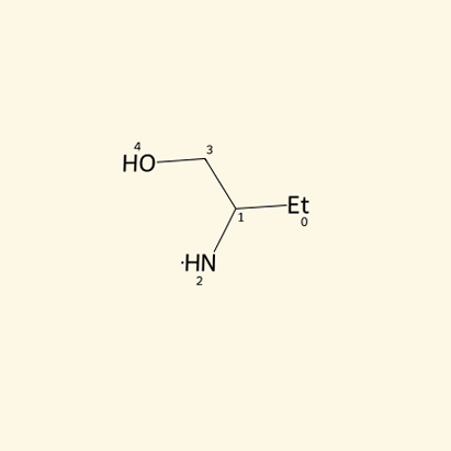 CCC([NH])CO